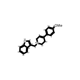 COc1ccc(C2=CCN(Cc3coc4ccccc34)CC2)cc1